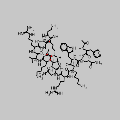 CSCCC(NC(=O)[C@H](CC(N)=O)NC(=O)C(CCCNC(=N)N)NC(=O)[C@H](CCCCN)NC(=O)C(Cc1c[nH]c2ccccc12)NC(=O)[C@H](CCC(N)=O)NC(=O)C(Cc1ccccc1)NC(C)=O)C(=O)N[C@@H](CCCNC(=N)N)C(=O)NC(CCCCN)C(=O)N[C@H](C(=O)NC(CCCNC(=N)N)C(=O)N[C@@H](CCCCN)C(N)=O)C(C)C